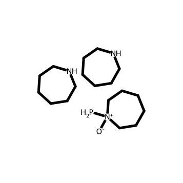 C1CCCNCC1.C1CCCNCC1.[O-][N+]1(P)CCCCCC1